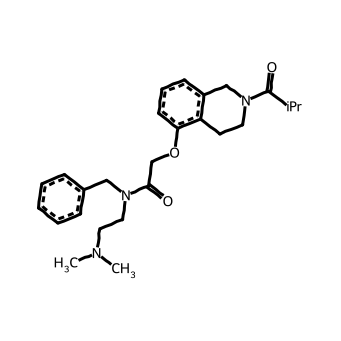 CC(C)C(=O)N1CCc2c(cccc2OCC(=O)N(CCN(C)C)Cc2ccccc2)C1